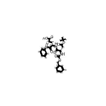 CC(C)(C)OC(=O)C[C@H](NC(=O)OCc1ccccc1)C(=O)N[C@@H](CCC(=O)O)C(=O)Nc1ccccc1